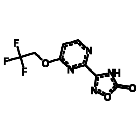 O=c1[nH]c(-c2nccc(OCC(F)(F)F)n2)no1